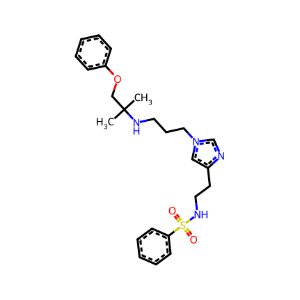 CC(C)(COc1ccccc1)NCCCn1cnc(CCNS(=O)(=O)c2ccccc2)c1